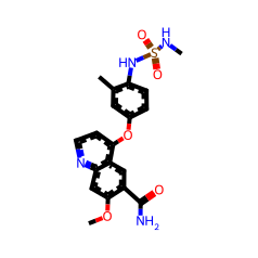 CNS(=O)(=O)Nc1ccc(Oc2ccnc3cc(OC)c(C(N)=O)cc23)cc1C